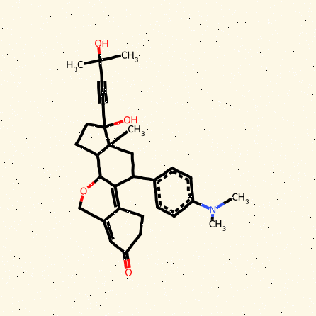 CN(C)c1ccc(C2CC3(C)C(CCC3(O)C#CC(C)(C)O)C3OCC4=CC(=O)CCC4=C23)cc1